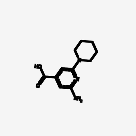 Nc1cc(C(=O)O)cc(N2CCCCC2)n1